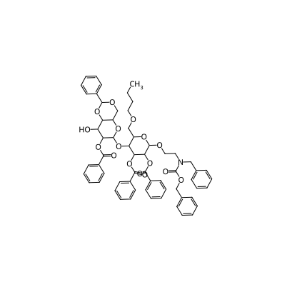 CCCCOCC1OC(OCCN(Cc2ccccc2)C(=O)OCc2ccccc2)C(OC(=O)c2ccccc2)C(OC(=O)c2ccccc2)C1OC1OC2COC(c3ccccc3)OC2C(O)C1OC(=O)c1ccccc1